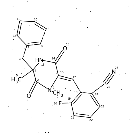 CN1C(=O)C(C)(Cc2ccccc2)NC(=O)C1=Cc1c(F)cccc1C#N